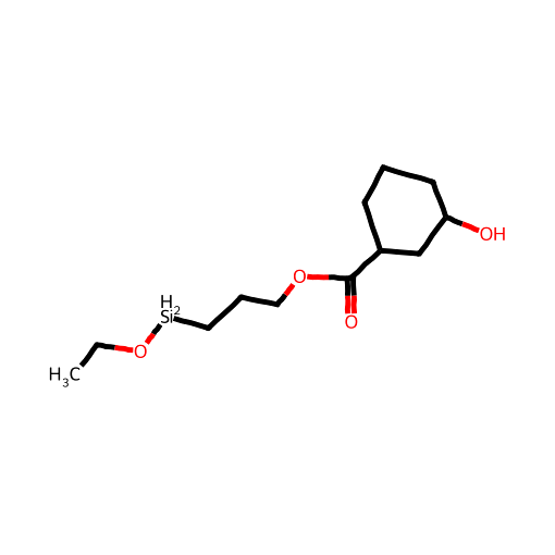 CCO[SiH2]CCCOC(=O)C1CCCC(O)C1